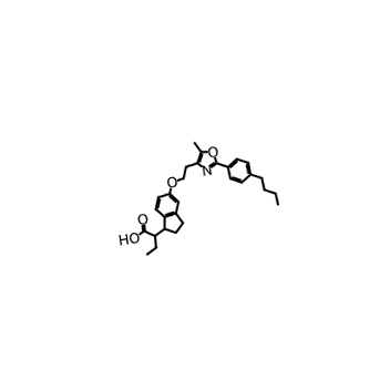 CCCCc1ccc(-c2nc(CCOc3ccc4c(c3)CCC4C(CC)C(=O)O)c(C)o2)cc1